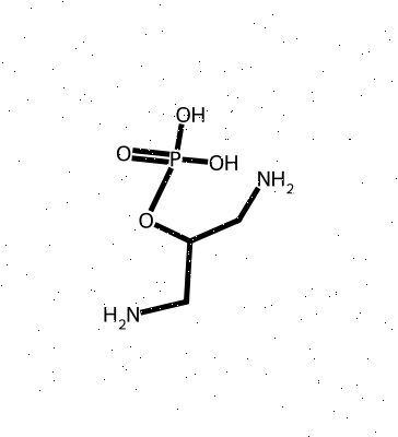 NCC(CN)OP(=O)(O)O